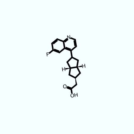 O=C(O)C[C@@H]1C[C@H]2CC(c3ccnc4ccc(F)cc34)C[C@H]2C1